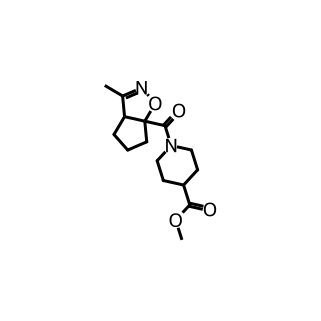 COC(=O)C1CCN(C(=O)C23CCCC2C(C)=NO3)CC1